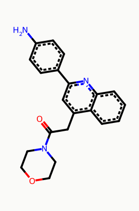 Nc1ccc(-c2cc(CC(=O)N3CCOCC3)c3ccccc3n2)cc1